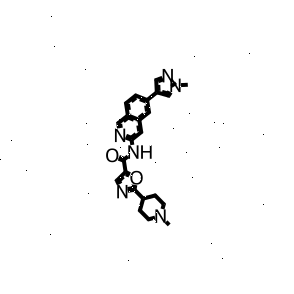 CN1CCC(c2ncc(C(=O)Nc3cc4cc(-c5cnn(C)c5)ccc4cn3)o2)CC1